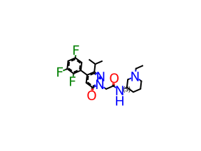 CCN1CCC[C@H](NC(=O)Cn2nc(C(C)C)c(-c3cc(F)cc(F)c3F)cc2=O)C1